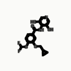 O=C(Nc1c(O)cncc1O)c1ccc(OC(F)F)c(OCC2CC2)c1